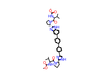 COC(=O)NC(C(=O)N1CCC[C@H]1c1nc2cc(-c3ccc(-c4ccc(-c5c[nH]c([C@@H]6CCCN6C(=O)[C@@H](NC(=O)OC)C(C)C)n5)cc4)cc3)ccc2[nH]1)C(C)C